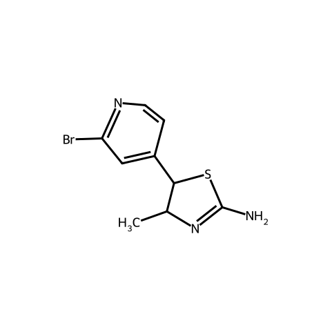 CC1N=C(N)SC1c1ccnc(Br)c1